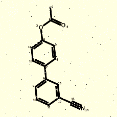 CC(=O)Oc1ccc(-c2cccc(C#N)c2)cc1